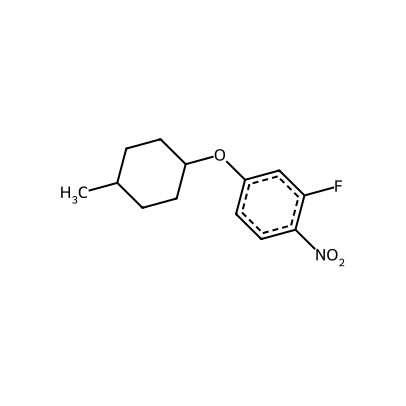 CC1CCC(Oc2ccc([N+](=O)[O-])c(F)c2)CC1